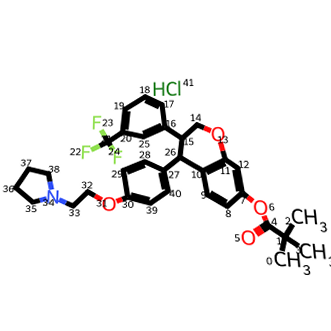 CC(C)(C)C(=O)Oc1ccc2c(c1)OCC(c1cccc(C(F)(F)F)c1)C2c1ccc(OCCN2CCCC2)cc1.Cl